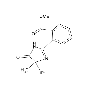 COC(=O)c1ccccc1C1=NC(C)(C(C)C)C(=O)N1